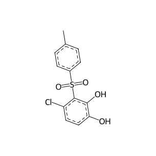 Cc1ccc(S(=O)(=O)c2c(Cl)ccc(O)c2O)cc1